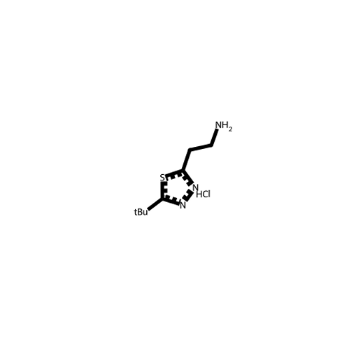 CC(C)(C)c1nnc(CCN)s1.Cl